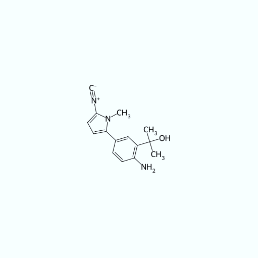 [C-]#[N+]c1ccc(-c2ccc(N)c(C(C)(C)O)c2)n1C